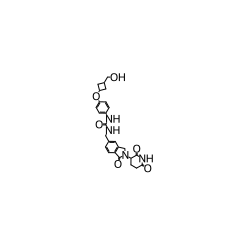 O=C1CCC(N2Cc3cc(CNC(=O)Nc4ccc(OC5CC(CO)C5)cc4)ccc3C2=O)C(=O)N1